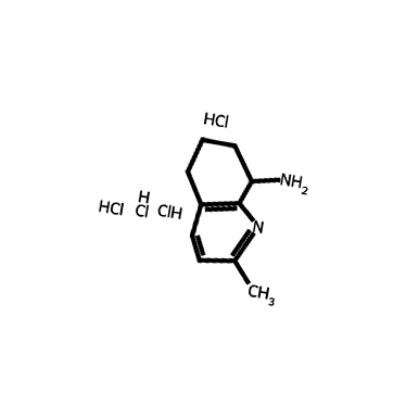 Cc1ccc2c(n1)C(N)CCC2.Cl.Cl.Cl.Cl